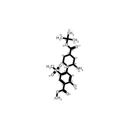 COC(=O)c1cc(S(C)(=O)=O)c(N2CCC(C(=O)OC(C)(C)C)CC2N)cc1Cl